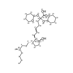 CCCC[C@@H](C)CCC[C@H]1CC[C@H](O)[C@@H]1CC=CCCC(OC1CCCCO1)(OC1CCCCO1)C(=O)O